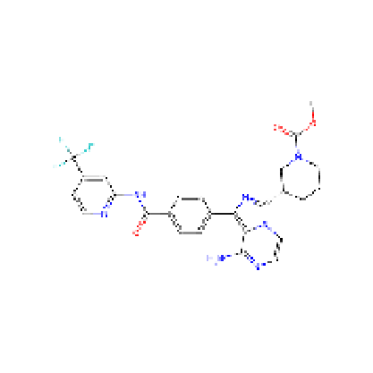 COC(=O)N1CCC[C@H](c2nc(-c3ccc(C(=O)Nc4cc(C(F)(F)F)ccn4)cc3)c3c(N)nccn23)C1